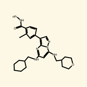 CCCNC(=O)c1ccc(-c2cnn3c(NCC4CCOCC4)cc(NCC4CCCCC4)nc23)cc1C